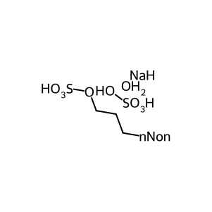 CCCCCCCCCCCCOS(=O)(=O)O.O.O=S(=O)(O)O.[NaH]